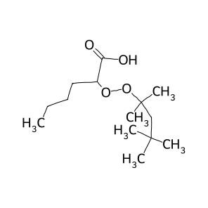 CCCCC(OOC(C)(C)CC(C)(C)C)C(=O)O